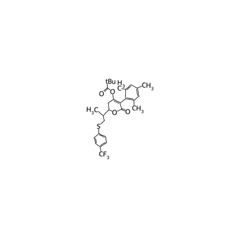 Cc1cc(C)c(C2=C(OC(=O)C(C)(C)C)CC(C(C)CSc3ccc(C(F)(F)F)cc3)OC2=O)c(C)c1